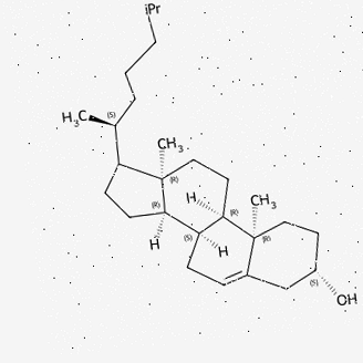 CC(C)CCC[C@H](C)C1CC[C@@H]2[C@@H]3CC=C4C[C@@H](O)CC[C@]4(C)[C@@H]3CC[C@]12C